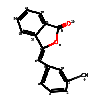 N#Cc1cccc(C=C2OC(=O)c3ccccc32)c1